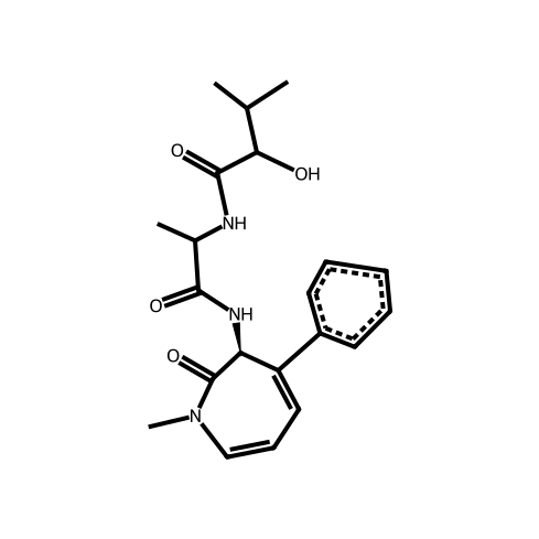 CC(NC(=O)C(O)C(C)C)C(=O)N[C@@H]1C(=O)N(C)C=CC=C1c1ccccc1